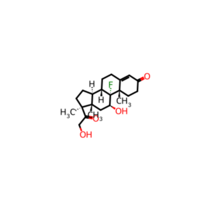 C[C@]12CCC(=O)C=C1CC[C@H]1[C@@H]3CC[C@](C)(C(=O)CO)[C@@]3(C)C[C@H](O)[C@@]12F